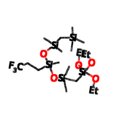 CCO[Si](C[Si](C)(C)O[Si](C)(CCC(F)(F)F)O[Si](C)(C)C[Si](C)(C)C)(OCC)OCC